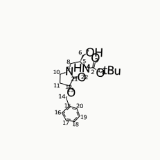 CC(C)(C)OC(=O)N[C@H](CO)CN1CC[C@H](OCc2ccccc2)C1=O